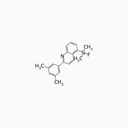 Cc1cc(C)cc(-c2ccc3c([Si](C)(C)F)cccc3n2)c1